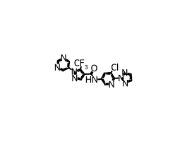 O=C(Nc1cnc(-n2nccn2)c(Cl)c1)c1cnn(-c2cncnc2)c1C(F)(F)F